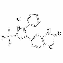 O=C1COc2ccc(-c3cc(C(F)(F)F)nn3-c3ccccc3Cl)cc2N1